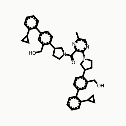 Cc1cnc(N2CCC(c3ccc(-c4ccccc4C4CC4)cc3CO)C2)c(C(=O)N2CCC(c3ccc(-c4ccccc4C4CC4)cc3CO)C2)n1